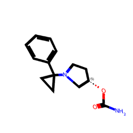 NC(=O)O[C@H]1CCN(C2(c3ccccc3)CC2)C1